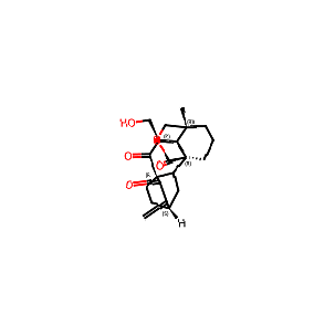 C=C1C(=O)[C@]23CC[C@H]1CC2[C@@]12CCC[C@@](C)(COC1=O)C2[C@H](CO)C3=O